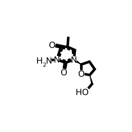 Cc1cn([C@H]2CC[C@@H](CO)O2)c(=O)n(N)c1=O